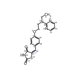 CCN(CCOc1ccc(/C=C2/SC(=O)NC2=O)cc1)c1ncccn1